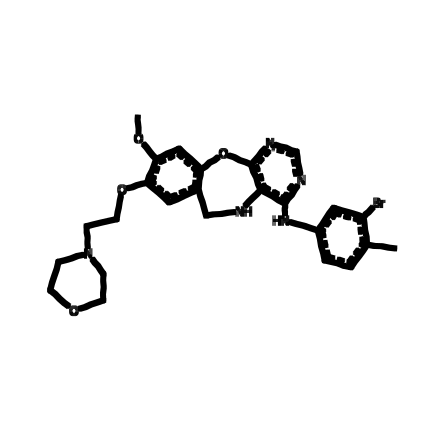 COc1cc2c(cc1OCCN1CCOCC1)CNc1c(Nc3ccc(C)c(Br)c3)ncnc1O2